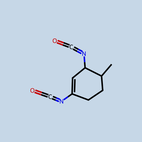 CC1CCC(N=C=O)=CC1N=C=O